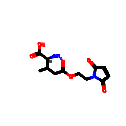 CC(CC(=O)OCCN1C(=O)C=CC1=O)[C@H](N)C(=O)O